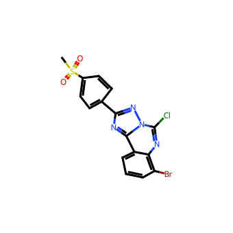 CS(=O)(=O)c1ccc(-c2nc3c4cccc(Br)c4nc(Cl)n3n2)cc1